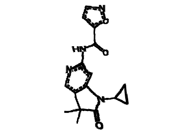 CC1(C)C(=O)N(C2CC2)c2cc(NC(=O)c3ccno3)ncc21